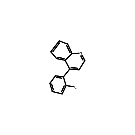 Clc1ccccc1-c1ccnc2ccccc12